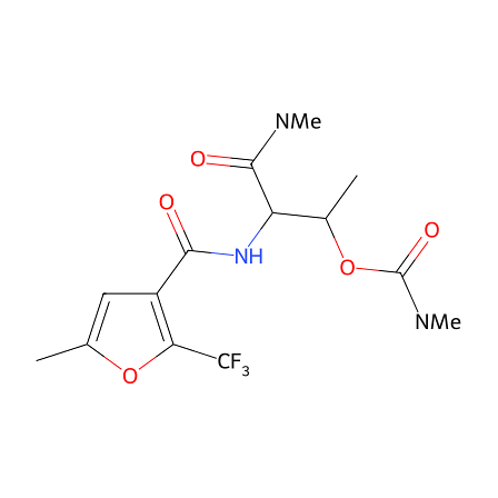 CNC(=O)OC(C)C(NC(=O)c1cc(C)oc1C(F)(F)F)C(=O)NC